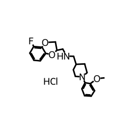 COc1ccccc1N1CCC(CNCC2COc3c(F)cccc3O2)CC1.Cl